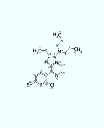 CCCN(CCC)c1c(CC)nc2c(-c3ccc(Br)cc3Cl)nccn12